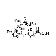 CCc1csc(C(Cc2ccc(NS(=O)(=O)O)cc2)NC(=O)C(C(=O)OC(C)(C)C)C(C)C)n1